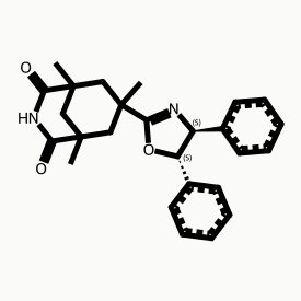 CC12CC(C)(CC(C)(C3=N[C@@H](c4ccccc4)[C@H](c4ccccc4)O3)C1)C(=O)NC2=O